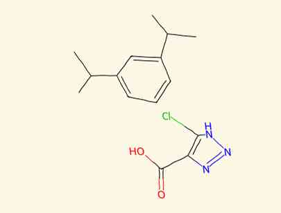 CC(C)c1cccc(C(C)C)c1.O=C(O)c1nn[nH]c1Cl